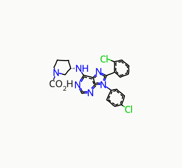 O=C(O)N1CCC[C@H](Nc2ncnc3c2nc(-c2ccccc2Cl)n3-c2ccc(Cl)cc2)C1